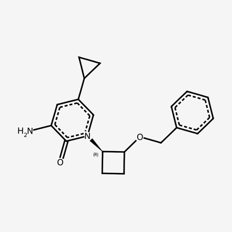 Nc1cc(C2CC2)cn([C@@H]2CCC2OCc2ccccc2)c1=O